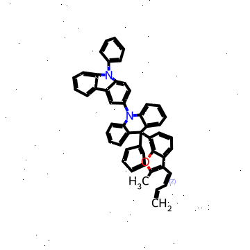 C=C/C=C\c1c(C)oc2c(C3(c4ccccc4)c4ccccc4N(c4ccc5c(c4)c4ccccc4n5-c4ccccc4)c4ccccc43)cccc12